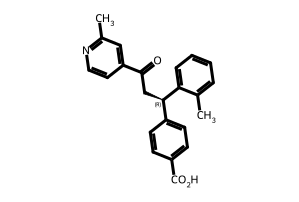 Cc1cc(C(=O)C[C@H](c2ccc(C(=O)O)cc2)c2ccccc2C)ccn1